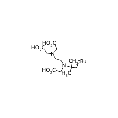 CC(C)(C)CC(C)(C)N(CCN(CC(=O)O)CC(=O)O)CC(=O)O